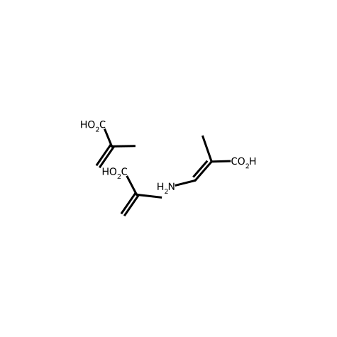 C=C(C)C(=O)O.C=C(C)C(=O)O.CC(=CN)C(=O)O